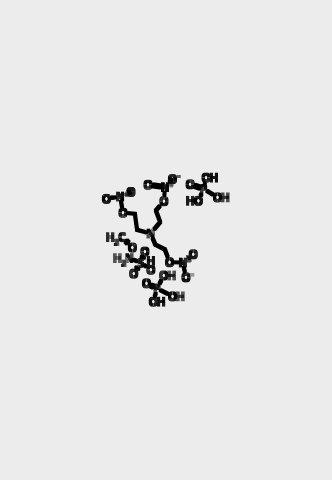 C=O.NS(=O)(=O)O.O=P(O)(O)O.O=P(O)(O)O.O=[N+]([O-])OCCN(CCO[N+](=O)[O-])CCO[N+](=O)[O-]